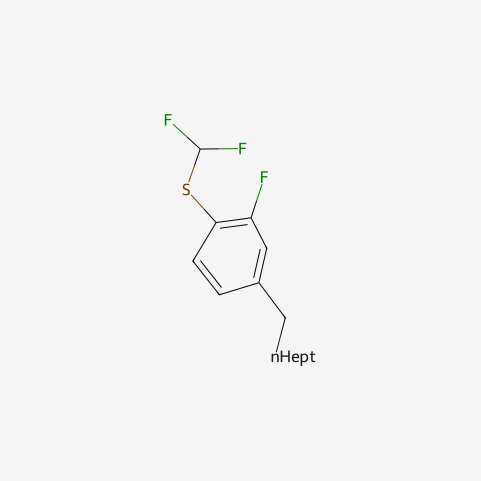 CCCC[CH]CCCc1ccc(SC(F)F)c(F)c1